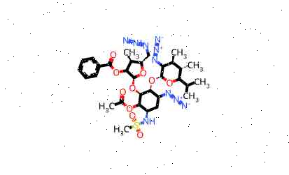 CC(=O)OC1[C@@H](O[C@@H]2O[C@H](CN=[N+]=[N-])[C@H](C)C2OC(=O)c2ccccc2)[C@H](O[C@H]2OC(C(C)C)[C@@H](C)[C@H](C)C2N=[N+]=[N-])C(N=[N+]=[N-])C[C@H]1NS(C)(=O)=O